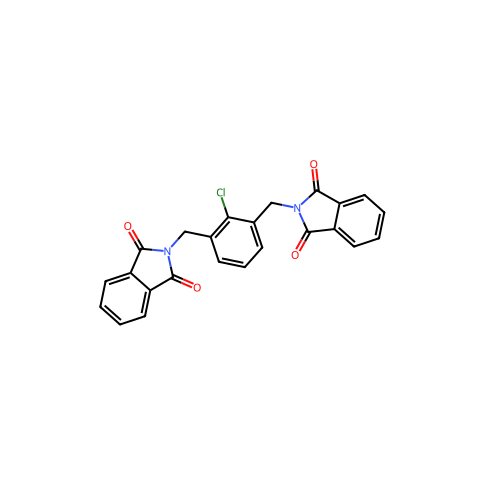 O=C1c2ccccc2C(=O)N1Cc1cccc(CN2C(=O)c3ccccc3C2=O)c1Cl